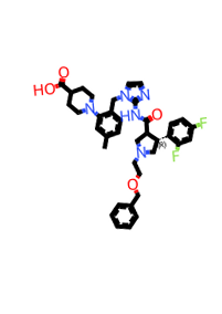 Cc1ccc(Cn2ccnc2NC(=O)C2CN(CCOCc3ccccc3)C[C@H]2c2ccc(F)cc2F)c(N2CCC(C(=O)O)CC2)c1